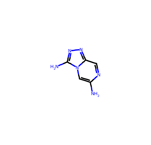 Nc1cn2c(N)nnc2cn1